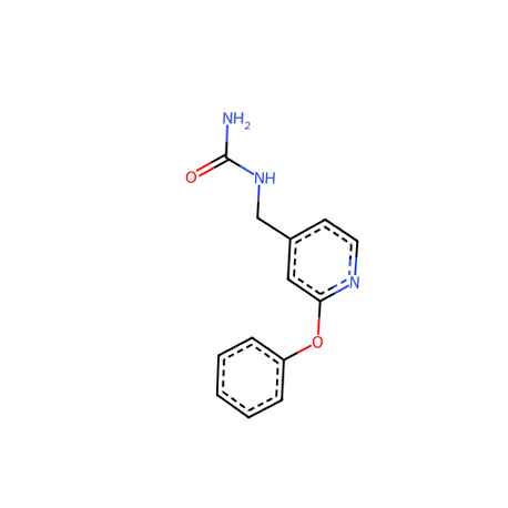 NC(=O)NCc1ccnc(Oc2ccccc2)c1